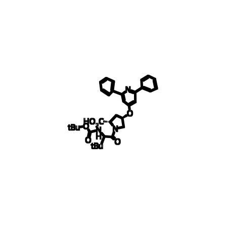 CC(C)(C)OC(=O)NC(C(=O)N1C[C@H](Oc2cc(-c3ccccc3)nc(-c3ccccc3)c2)C[C@H]1C(=O)O)C(C)(C)C